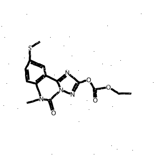 CCOC(=O)Oc1nc2c3cc(SC)ccc3n(C)c(=O)n2n1